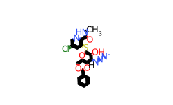 CNC(=O)c1ncc(Cl)cc1S[C@H]1OC2COC(c3ccccc3)O[C@@H]2C(N=[N+]=[N-])C1O